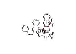 COc1ccc2ccccc2c1-c1cccc(-c2c(OC)ccc3ccccc23)c1P(C)c1cc(C(F)(F)F)cc(C(F)(F)F)c1